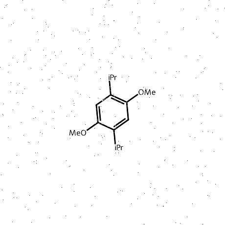 COc1cc(C(C)C)c(OC)cc1C(C)C